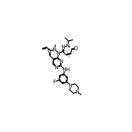 C=CCN(C)N(C(/C=C\C=O)=N/N(C)C(C)C)c1nc(Nc2cc(F)cc(N3CCN(C)CC3)c2)ncc1C=O